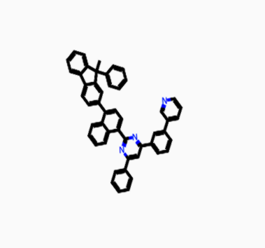 CC1(c2ccccc2)c2ccccc2-c2ccc(-c3ccc(-c4nc(-c5ccccc5)cc(-c5cccc(-c6cccnc6)c5)n4)c4ccccc34)cc21